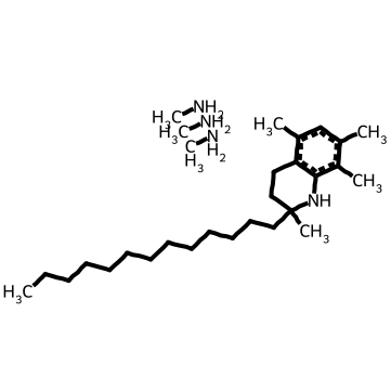 CCCCCCCCCCCCCC1(C)CCc2c(C)cc(C)c(C)c2N1.CN.CN.CN